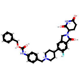 O=C1CCC(N2Cc3cc(C4CCN(Cc5ccc(NC(=O)OCc6ccccc6)cc5)CC4)c(F)cc3C2=O)C(=O)N1